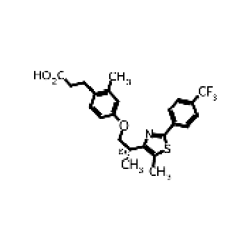 Cc1cc(OC[C@@H](C)c2nc(-c3ccc(C(F)(F)F)cc3)sc2C)ccc1CCC(=O)O